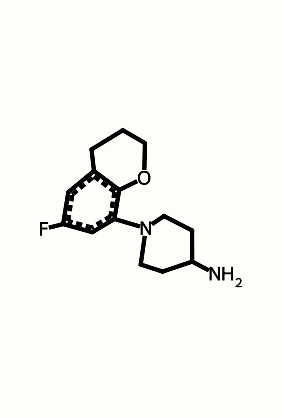 NC1CCN(c2cc(F)cc3c2OCCC3)CC1